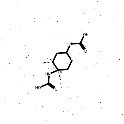 C[C@@H]1CC(NC(=O)O)CC[C@@]1(C)NC(=O)O